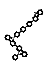 c1ccc(-n2c3ccccc3c3ccc(-c4ccc5c6ccccc6n(-c6ccc(-c7ccc(-c8ccc(-c9ccc%10c(c9)sc9ccccc9%10)cc8)cc7)cc6)c5c4)cc32)cc1